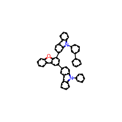 c1ccc(-c2cccc(-n3c4ccccc4c4ccc(-c5cc(-c6ccc7c(c6)c6ccccc6n7-c6ccccc6)cc6c5oc5ccccc56)cc43)c2)cc1